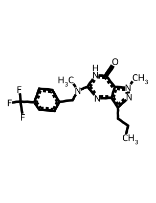 CCCc1nn(C)c2c(=O)[nH]c(N(C)Cc3ccc(C(F)(F)F)cc3)nc12